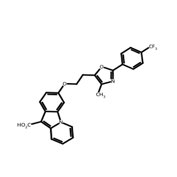 Cc1nc(-c2ccc(C(F)(F)F)cc2)oc1CCOc1ccc2c(C(=O)O)c3ccccn3c2c1